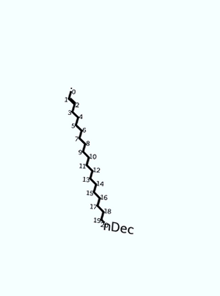 [CH2]C=CCCCCCCCCCCCCCCCCCCCCCCCCCC[CH2]